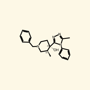 Cc1nnc([C@]2(O)CCN(Cc3ccccc3)C[C@@H]2C)n1-c1ccccc1